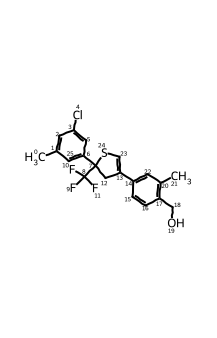 Cc1cc(Cl)cc(C2(C(F)(F)F)CC(c3ccc(CO)c(C)c3)=CS2)c1